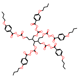 CCCCOc1ccc(C(=O)OOC(=O)OCCC(COC(=O)OOC(=O)c2ccc(OCCCC)cc2)C(COC(=O)OOC(=O)c2ccc(OCCCC)cc2)C(CCOC(=O)OOC(=O)c2ccc(OCCCC)cc2)COC(=O)OOC(=O)c2ccc(OCCCC)cc2)cc1